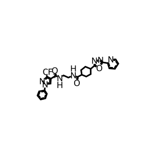 O=C(NCCNC(=O)C1CCC(c2nnc(-c3ccccn3)o2)CC1)c1cn(-c2ccccc2)nc1C(F)(F)F